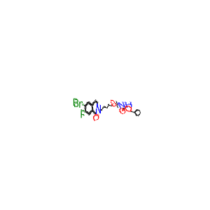 CC(C)(NC(=O)OCc1ccccc1)OCCCCCn1ccc2cc(Br)c(F)cc2c1=O